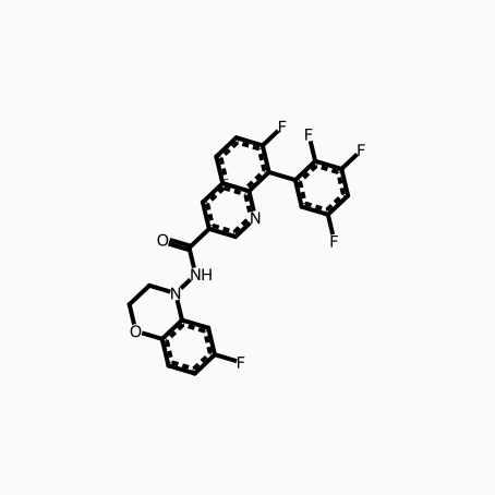 O=C(NN1CCOc2ccc(F)cc21)c1cnc2c(-c3cc(F)cc(F)c3F)c(F)ccc2c1